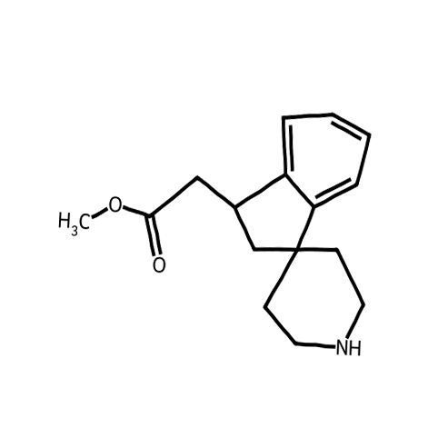 COC(=O)CC1CC2(CCNCC2)c2ccccc21